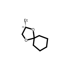 CC[C@H]1COC2(CCCCC2)O1